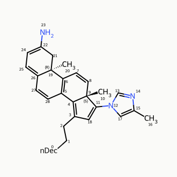 CCCCCCCCCCCCC1=C2C3=C(C=C[C@]2(C)C(n2cnc(C)c2)=C1)[C@]1(C)CC(N)=CC=C1C=C3